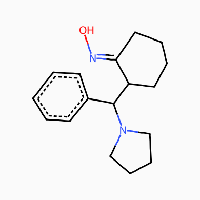 ON=C1CCCCC1C(c1ccccc1)N1CCCC1